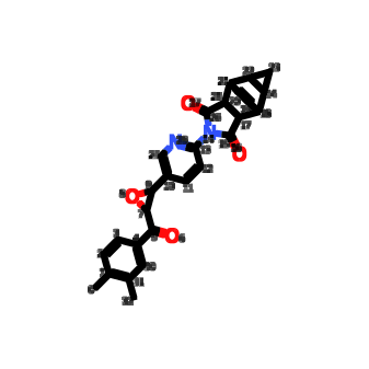 Cc1ccc(C(=O)C2OC2c2ccc(N3C(=O)C4C5C=CC(C6CC56)C4C3=O)nc2)cc1C